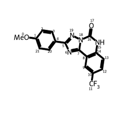 COc1ccc(-c2nc3c4cc(C(F)(F)F)ccc4[nH]c(=O)n3n2)cc1